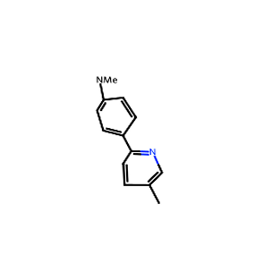 CNc1ccc(-c2ccc(C)cn2)cc1